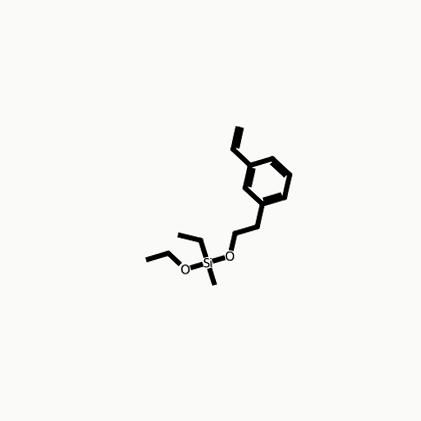 C=Cc1cccc(CCO[Si](C)(CC)OCC)c1